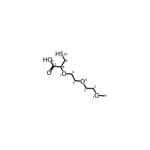 COCCOCCOC(CS)C(=O)O